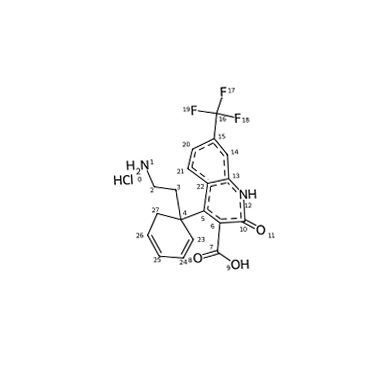 Cl.NCCC1(c2c(C(=O)O)c(=O)[nH]c3cc(C(F)(F)F)ccc23)C=CC=CC1